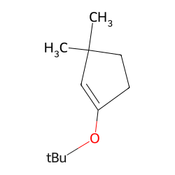 CC1(C)C=C(OC(C)(C)C)CC1